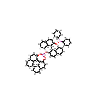 c1ccc(P(Oc2ccc3ccccc3c2-c2c(Op3oc4ccc5ccccc5c4c4c(ccc5ccccc54)o3)ccc3ccccc23)c2ccccc2)cc1